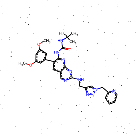 COc1cc(OC)cc(-c2cc3cnc(NCc4cn(Cc5ccccn5)nn4)nc3nc2NC(=O)NC(C)(C)C)c1